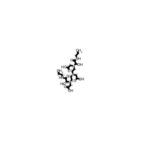 C=CCNC(=O)C(O)N(CCN(CCN(CC(=O)O)C(O)C(=O)NCC=C)CC(=O)O)CC(=O)O